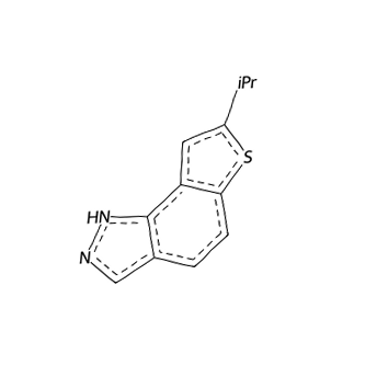 CC(C)c1cc2c(ccc3cn[nH]c32)s1